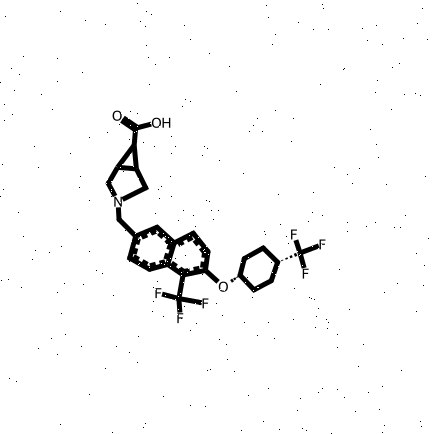 O=C(O)C1C2CN(Cc3ccc4c(C(F)(F)F)c(O[C@H]5CC[C@@H](C(F)(F)F)CC5)ccc4c3)CC21